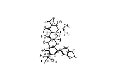 CN(C)[C@H]1C(O)=C(C(N)=O)C(=O)[C@]2(O)C(O)=C3C(=O)c4c(O)c(C(C)(C)C)cc(-c5ccc6c(c5)OCO6)c4C[C@@H]3C[C@H]12